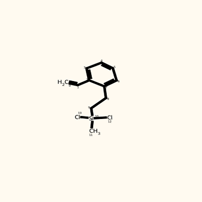 C=Cc1ccccc1CC[Si](C)(Cl)Cl